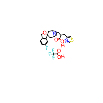 O=C(O)C(Cc1cscn1)CN1C2CCC1CC1(C2)OCc2ccc(F)cc21.O=C(O)C(F)(F)F